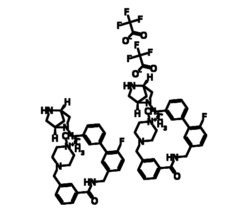 C[N+]1(C)CCN(Cc2cccc(C(=O)NCc3ccc(F)c(-c4cccc(CN5C[C@@H]6C[C@H]5CN6)c4)c3)c2)CC1.C[N+]1(C)CCN(Cc2cccc(C(=O)NCc3ccc(F)c(-c4cccc(CN5C[C@@H]6C[C@H]5CN6)c4)c3)c2)CC1.O=C([O-])C(F)(F)F.O=C([O-])C(F)(F)F